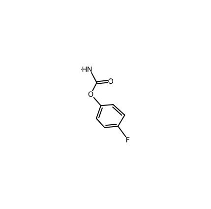 [NH]C(=O)Oc1ccc(F)cc1